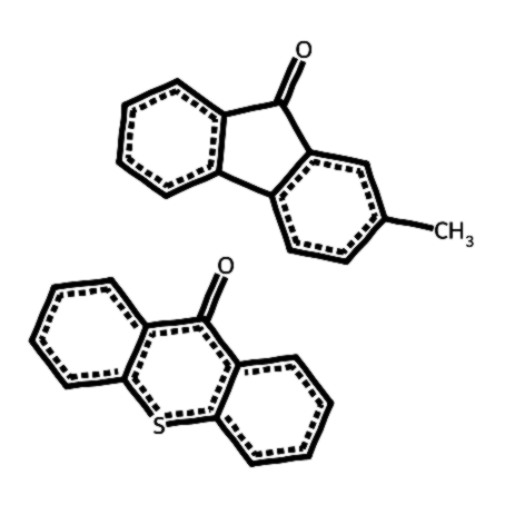 Cc1ccc2c(c1)C(=O)c1ccccc1-2.O=c1c2ccccc2sc2ccccc12